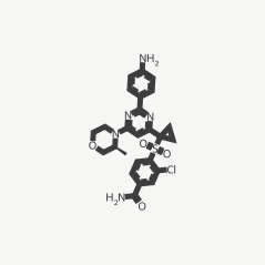 C[C@H]1COCCN1c1cc(C2(S(=O)(=O)c3ccc(C(N)=O)cc3Cl)CC2)nc(-c2ccc(N)cc2)n1